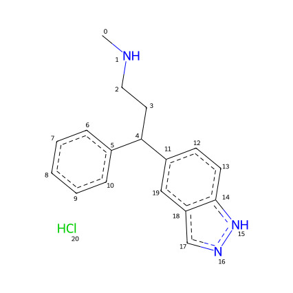 CNCCC(c1ccccc1)c1ccc2[nH]ncc2c1.Cl